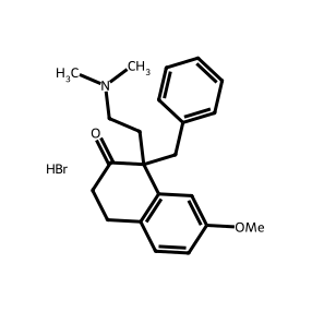 Br.COc1ccc2c(c1)C(CCN(C)C)(Cc1ccccc1)C(=O)CC2